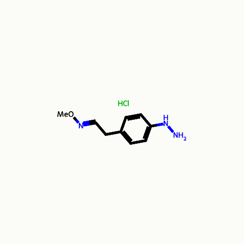 CON=CCc1ccc(NN)cc1.Cl